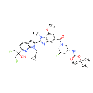 COc1cc(C(=O)N2C[C@H](F)C[C@@H](NC(=O)OC(C)(C)C)C2)cc2nc(-c3cc4ccc(C(O)(CF)CF)nc4n3CC3CC3)n(C)c12